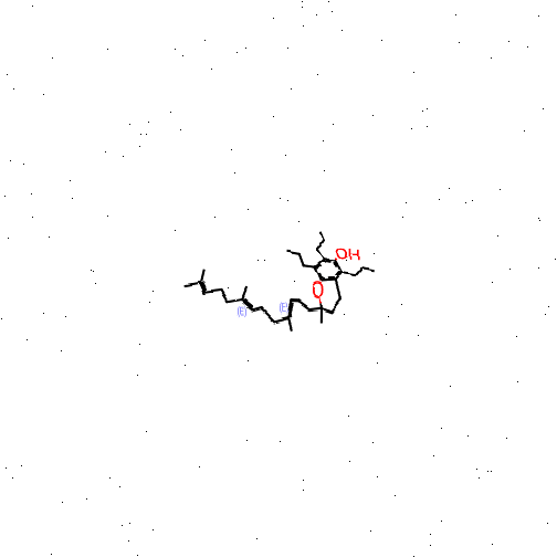 CCCc1c(O)c(CCC)c2c(c1CCC)OC(C)(CC/C=C(\C)CC/C=C(\C)CCC=C(C)C)CC2